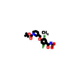 C.CC(C)(C)OC(=O)N1CCCC(COc2cc(F)c(C(=O)N=S(=O)=O)cc2F)C1